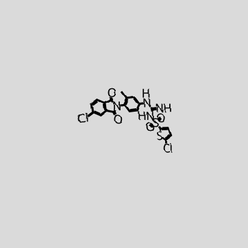 Cc1cc(NC(=N)NS(=O)(=O)c2ccc(Cl)s2)ccc1N1C(=O)c2ccc(Cl)cc2C1=O